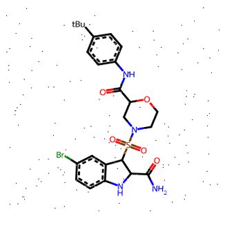 CC(C)(C)c1ccc(NC(=O)C2CN(S(=O)(=O)C3c4cc(Br)ccc4NC3C(N)=O)CCO2)cc1